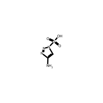 Nc1cn(S(=O)(=O)O)nn1